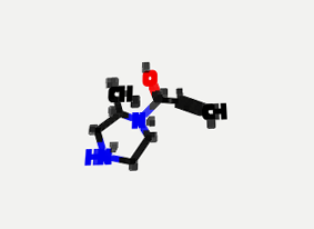 C#CC(=O)N1CCNCC1C